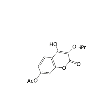 CC(=O)Oc1ccc2c(O)c(OC(C)C)c(=O)oc2c1